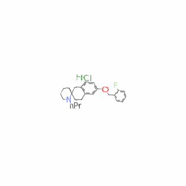 CCCN1CCCCC12CCc1cc(OCc3ccccc3F)ccc1C2.Cl